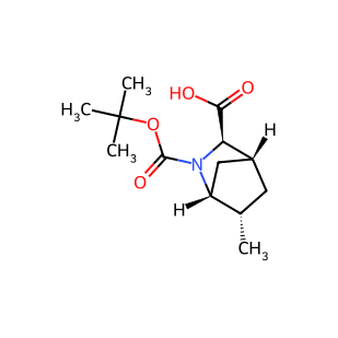 C[C@H]1C[C@@H]2C[C@H]1N(C(=O)OC(C)(C)C)[C@H]2C(=O)O